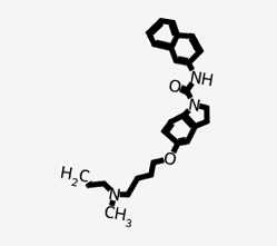 C=CCN(C)CCCCOc1ccc2c(c1)CCN2C(=O)Nc1ccc2ccccc2c1